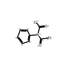 CCC(=O)N(C(=O)Cl)c1ccccc1